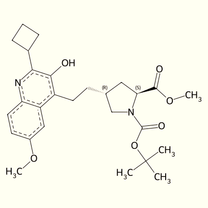 COC(=O)[C@@H]1C[C@@H](CCc2c(O)c(C3CCC3)nc3ccc(OC)cc23)CN1C(=O)OC(C)(C)C